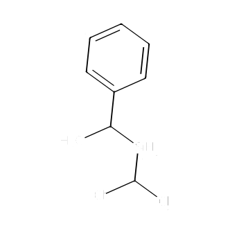 CC([SiH2]C(Cl)Cl)c1ccccc1